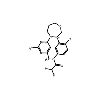 Cc1cc(N2CCCOC[C@H]2c2cc(NC(=O)C(F)F)ccc2Cl)nc(N)n1